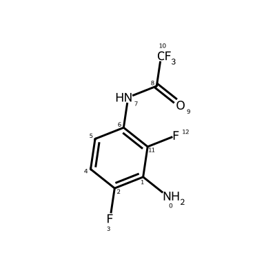 Nc1c(F)ccc(NC(=O)C(F)(F)F)c1F